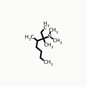 CCCCC(C)C(C)(CC)N(C)C